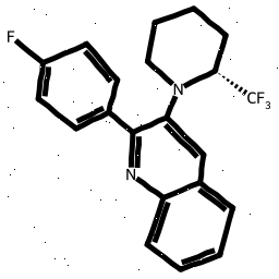 Fc1ccc(-c2nc3ccccc3cc2N2CCCC[C@@H]2C(F)(F)F)cc1